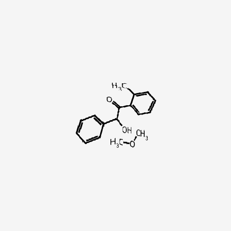 COC.Cc1ccccc1C(=O)C(O)c1ccccc1